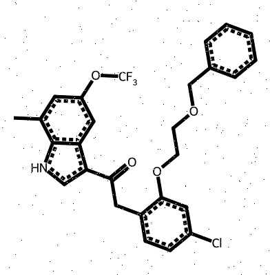 Cc1cc(OC(F)(F)F)cc2c(C(=O)Cc3ccc(Cl)cc3OCCOCc3ccccc3)c[nH]c12